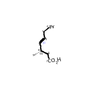 CC(C)C/C=C/[C@@H](C)CC(=O)O